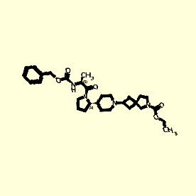 CCOC(=O)N1CCC2(CC(N3CCC([C@@H]4CCCN4C(=O)[C@H](C)NC(=O)OCc4ccccc4)CC3)C2)C1